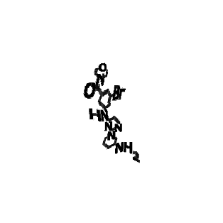 NC1CCCN(c2nccc(Nc3cc(Br)cc(C(=O)N4CCOCC4)c3)n2)C1